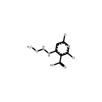 COBNc1cc(Cl)nc(Cl)c1C(=O)O